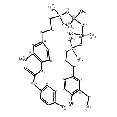 CCc1ccc(NC(=O)Oc2ccc(CCC[Si](C)(C)O[Si](C)(C)O[Si](C)(C)O[Si](C)(C)CCCc3ccc(O)c(CO)c3)cc2OC)cc1